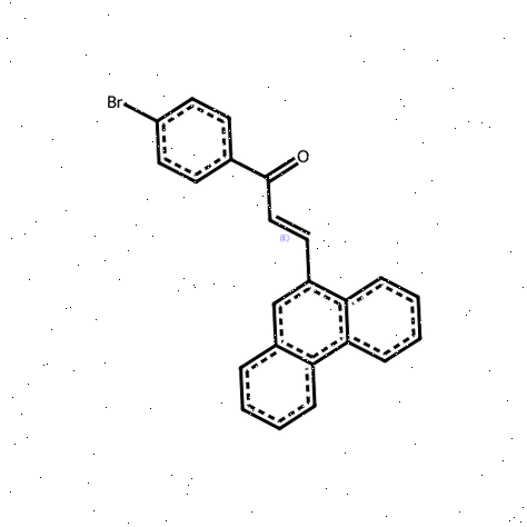 O=C(/C=C/c1cc2ccccc2c2ccccc12)c1ccc(Br)cc1